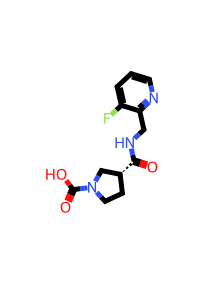 O=C(NCc1ncccc1F)[C@@H]1CCN(C(=O)O)C1